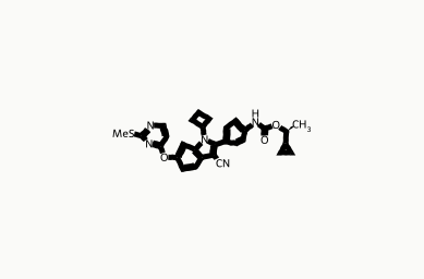 CSc1nccc(Oc2ccc3c(C#N)c(-c4ccc(NC(=O)O[C@H](C)C5CC5)cc4)n(C4CCC4)c3c2)n1